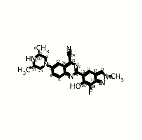 C[C@H]1CN(c2ccc3nc(-c4cc5cn(C)nc5c(F)c4O)nc(C#N)c3c2)C[C@H](C)N1